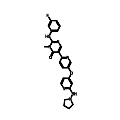 Cn1c(Nc2cccc(F)c2)ncc(-c2ccc(Oc3ccnc(NN4CCCC4)c3)cn2)c1=O